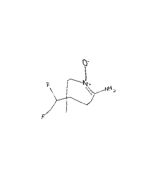 CC1(C(F)F)CC(N)=[N+]([O-])C1